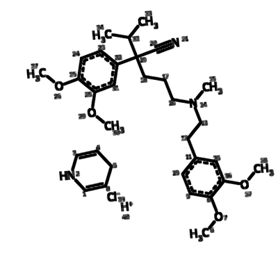 C1=CNC=CC1.COc1ccc(CCN(C)CCCC(C#N)(c2ccc(OC)c(OC)c2)C(C)C)cc1OC.[Cl-].[H+]